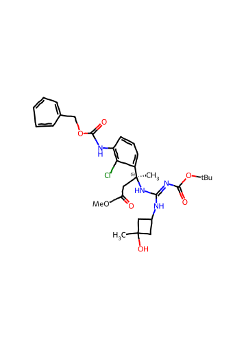 COC(=O)C[C@](C)(NC(=NC(=O)OC(C)(C)C)NC1CC(C)(O)C1)c1cccc(NC(=O)OCc2ccccc2)c1Cl